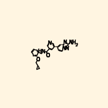 Nc1nc2cc(-c3cncc(C(=O)NCc4ccccc4OCC4CC4)c3)ccn2n1